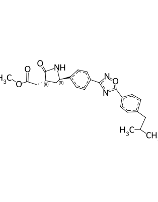 COC(=O)C[C@H]1C[C@H](c2ccc(-c3noc(-c4ccc(CC(C)C)cc4)n3)cc2)NC1=O